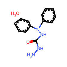 NNC(=O)NN(c1ccccc1)c1ccccc1.O